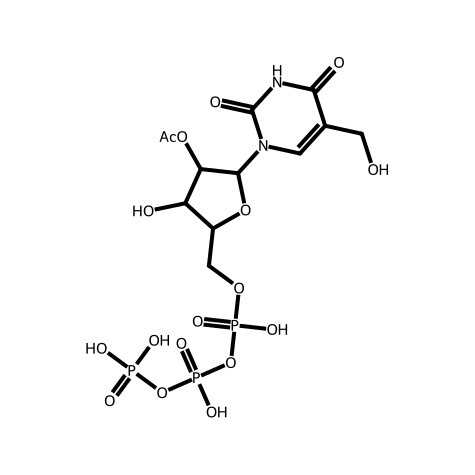 CC(=O)OC1C(O)C(COP(=O)(O)OP(=O)(O)OP(=O)(O)O)OC1n1cc(CO)c(=O)[nH]c1=O